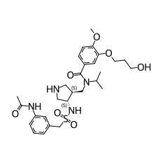 COc1ccc(C(=O)N(C[C@@H]2CNC[C@H]2NS(=O)(=O)Cc2cccc(NC(C)=O)c2)C(C)C)cc1OCCCO